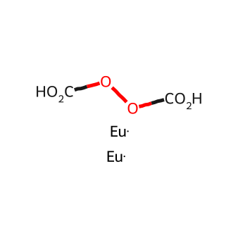 O=C(O)OOC(=O)O.[Eu].[Eu]